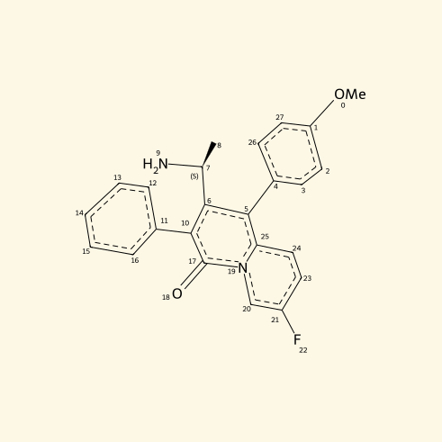 COc1ccc(-c2c([C@H](C)N)c(-c3ccccc3)c(=O)n3cc(F)ccc23)cc1